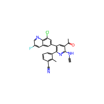 C#CNc1nc(-c2cccc(C#N)c2C)c(-c2cc(Cl)c3ncc(F)cc3c2)cc1C(C)=O